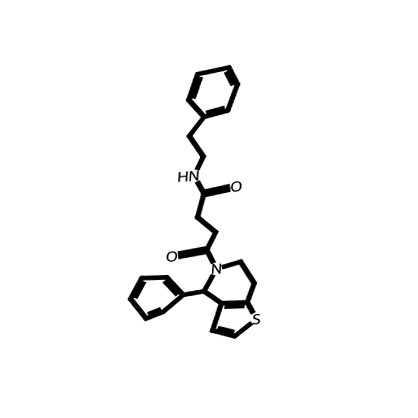 O=C(CCC(=O)N1CCc2sccc2C1c1ccccc1)NCCc1ccccc1